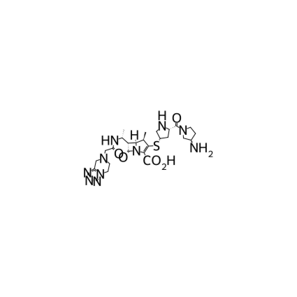 C[C@@H](NC(=O)CN1CCn2nnnc2C1)[C@H]1C(=O)N2C(C(=O)O)=C(S[C@@H]3CN[C@H](C(=O)N4CC[C@@H](N)C4)C3)[C@H](C)[C@H]12